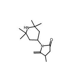 C=C1C(C)CC(=O)N1C1CC(C)(C)NC(C)(C)C1